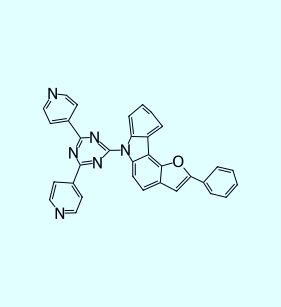 c1ccc(-c2cc3ccc4c(c5ccccc5n4-c4nc(-c5ccncc5)nc(-c5ccncc5)n4)c3o2)cc1